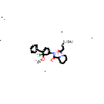 CC(=O)NCCC(=O)N1CCCCC1C(=O)NC1=CC=C(c2ccccc2)C(Cl)(OC(F)(F)F)C1